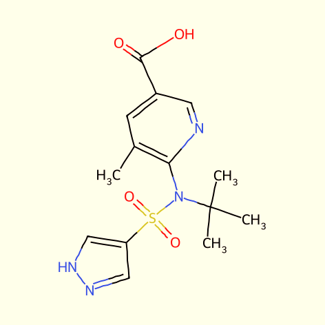 Cc1cc(C(=O)O)cnc1N(C(C)(C)C)S(=O)(=O)c1cn[nH]c1